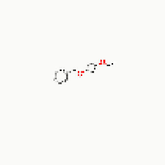 CCO[C@H]1C[C@@H](OCc2ccccc2)C1